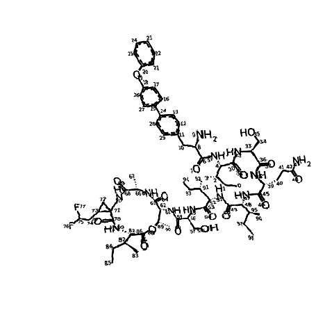 CC[C@H](C)[C@H](NC(=O)[C@H](N)Cc1ccc(-c2ccc(Oc3ccccc3)cc2)cc1)C(=O)N[C@@H](CO)C(=O)N[C@H](CCC(N)=O)C(=O)N[C@@H](C(=O)N[C@H](C(=O)N[C@@H](CO)C(=O)N[C@H]1C(=O)N[C@@H](C)C(=O)NC2(CC2CC(F)F)C(=O)N[C@@H]([C@@H](C)CC)C(=O)O[C@H]1C)[C@@H](C)CC)[C@@H](C)CC